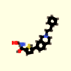 O=C(NO)c1ccc(-c2ccc3c(c2)CN(CCc2ccccc2)CC3)s1